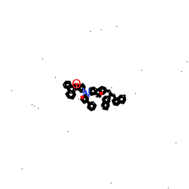 CC1(C)c2cc(C/C(=C/c3cccc4ccccc34)c3ccc4ccccc4c3)ccc2-c2ccc(N(c3cccc(-c4ccccc4)c3)c3ccc4oc5c6ccccc6c6ccccc6c5c4c3)cc21